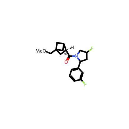 COCC12CC(C1)[C@@H](C(=O)N1CC(F)CC1c1cccc(F)c1)C2